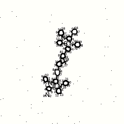 CN(C)c1ccc2c(c1)B1c3ccccc3N(c3ccccc3)c3cc(C4CCC(c5ccc6c(c5)C(C)(C)c5cc(-c7ccc8c(c7)B7c9ccccc9N(c9ccccc9)c9cc(C%10CCCCC%10)cc(c97)N8c7ccccc7)ccc5-6)CC4)cc(c31)N2c1ccccc1